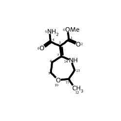 COC(=O)C(C(N)=O)=C1CCOC(C)CN1